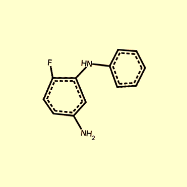 Nc1ccc(F)c(Nc2ccccc2)c1